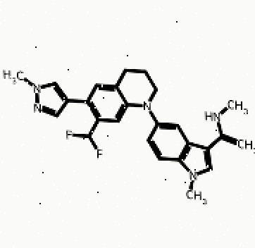 C=C(NC)c1cn(C)c2ccc(N3CCCc4cc(-c5cnn(C)c5)c(C(F)F)cc43)cc12